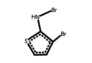 BrNc1sccc1Br